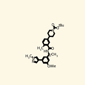 COc1cc(-c2cnn(C)c2)cc([C@@H](C)NC(=O)c2cc(C3CCN(C(=O)OC(C)(C)C)CC3)ccc2C)c1